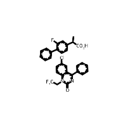 CC(C(=O)O)c1ccc(-c2ccccc2)c(F)c1.O=c1nc(-c2ccccc2)c2cc(Cl)ccc2n1CC(F)(F)F